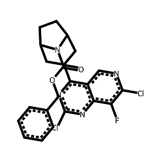 O=C(OCc1ccccc1)N1C2CCC1CC(c1nc(Cl)nc3c(F)c(Cl)ncc13)C2